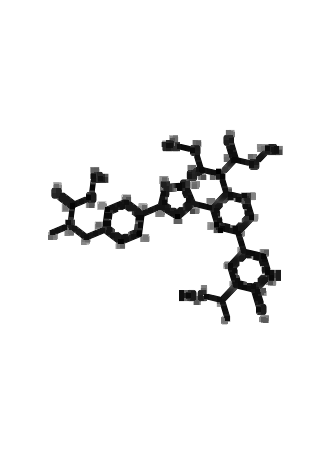 CC(C(=O)O)c1cc(-c2cnc(N(C(=O)OC(C)(C)C)C(=O)OC(C)(C)C)c(-c3cc(-c4ccc(CN(C)C(=O)OC(C)(C)C)cc4)no3)n2)c[nH]c1=O